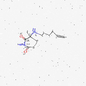 C#CCCCCNC1(C)CCC(=O)NC1=O